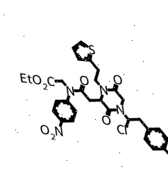 CCOC(=O)CN(C(=O)CC1C(=O)N(C(Cl)Cc2ccc(Cl)cc2)CC(=O)N1CCc1cccs1)c1ccc([N+](=O)[O-])cc1